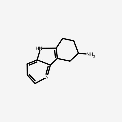 NC1CCc2[nH]c3cccnc3c2C1